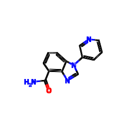 NC(=O)c1cccc2c1ncn2-c1cccnc1